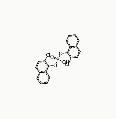 O=P(O)(Oc1c(Cl)ccc2ccccc12)Oc1c(Cl)ccc2ccccc12